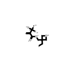 C=C(C(=O)OCC1(CC)COC1)C(F)(F)F